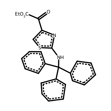 CCOC(=O)C(=O)c1csc(NC(c2ccccc2)(c2ccccc2)c2ccccc2)n1